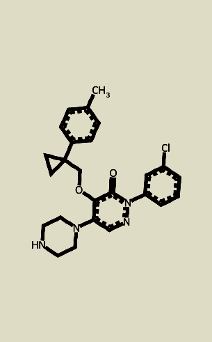 Cc1ccc(C2(COc3c(N4CCNCC4)cnn(-c4cccc(Cl)c4)c3=O)CC2)cc1